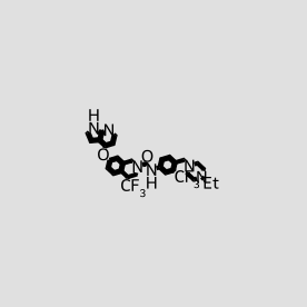 CCN1CCN(Cc2ccc(NC(=O)N3Cc4cc(Oc5ccnc6[nH]ccc56)ccc4C(C(F)(F)F)C3)cc2C(F)(F)F)CC1